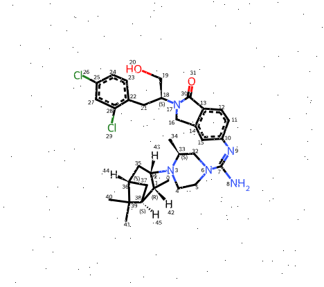 C[C@H]1[C@@H](N2CCN(C(N)=Nc3ccc4c(c3)CN([C@H](CO)Cc3ccc(Cl)cc3Cl)C4=O)C[C@@H]2C)C[C@@H]2C[C@@H]1C2(C)C